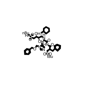 CCCCNS(=O)(=O)C[C@H](O)[C@H](O)[C@H](CC1CCCCC1)N[C@@H](Cc1cncn1COCc1ccccc1)C(=O)NC(=O)C(Cc1ccccc1)CS(=O)(=O)C(C)(C)C